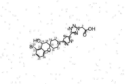 O=C(O)Cn1nnc(-c2nnc(N3CCC4(CC3)CC(O)c3c(Br)cccc3O4)s2)n1